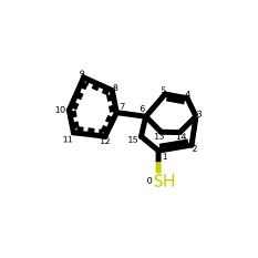 SC1=CC2C=CC(c3ccccc3)(CC2)C1